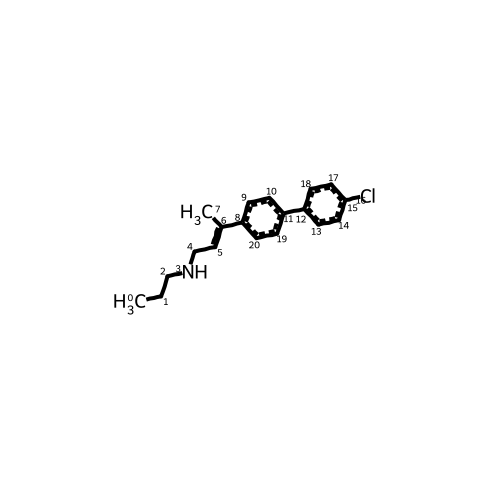 CCCNCC=C(C)c1ccc(-c2ccc(Cl)cc2)cc1